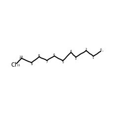 [CH2]CCCCCCCCC[CH]Cl